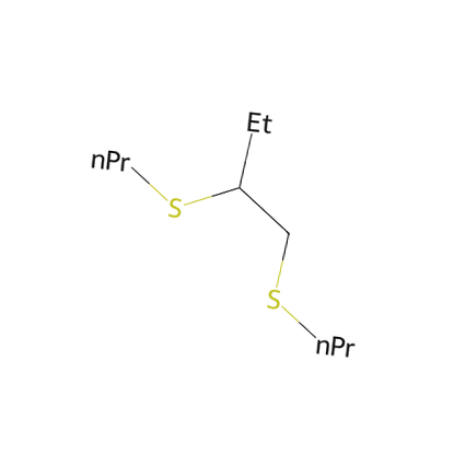 CCCSCC(CC)SCCC